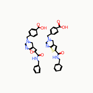 O=C(O)c1ccc(CN2C=Nc3oc(C(=O)NCc4ccccc4)cc3C2)cc1.O=C(O)c1ccc(CN2C=Nc3sc(C(=O)NCc4ccccc4)cc3C2)cc1